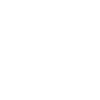 CC(=O)[O-].Oc1ccccc1.[Hg+]